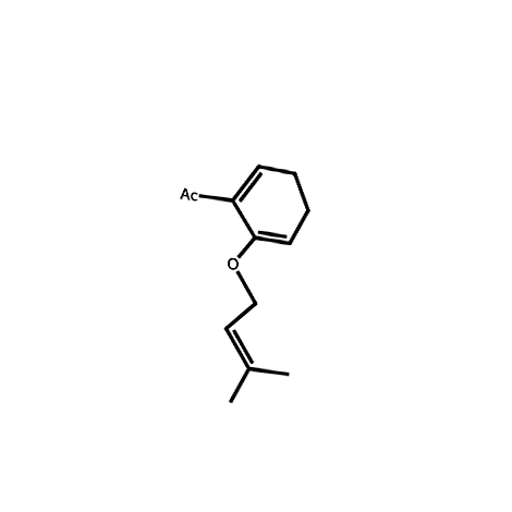 CC(=O)C1=CCCC=C1OCC=C(C)C